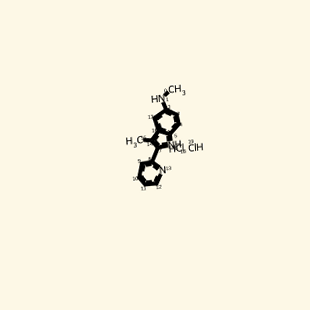 CNc1ccc2[nH]c(-c3ccccn3)c(C)c2c1.Cl.Cl